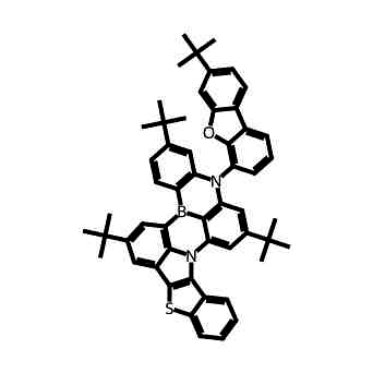 CC(C)(C)c1ccc2c(c1)N(c1cccc3c1oc1cc(C(C)(C)C)ccc13)c1cc(C(C)(C)C)cc3c1B2c1cc(C(C)(C)C)cc2c4sc5ccccc5c4n-3c12